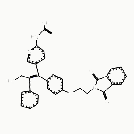 CC/C(=C(/c1ccc(OCCN2C(=O)c3ccccc3C2=O)cc1)c1ccc(NC(=O)O)nc1)c1ccccc1